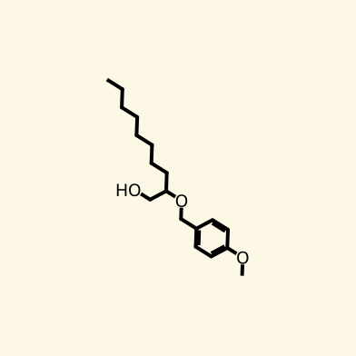 CCCCCCCCC(CO)OCc1ccc(OC)cc1